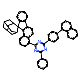 c1ccc(-c2nc(-c3ccc(-c4cccc5ccccc45)cc3)nc(-c3cccc4c5c(ccc34)-c3ccccc3C53C4CC5CC(C4)CC3C5)n2)cc1